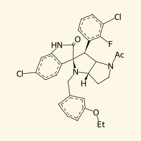 CCOc1cccc(CN2[C@H]3CCN(C(C)=O)C3[C@H](c3cccc(Cl)c3F)[C@]23C(=O)Nc2cc(Cl)ccc23)c1